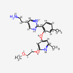 COCCOc1cc(Oc2cc(C)ccc2-c2ncc(CCN)cn2)cc(C)n1